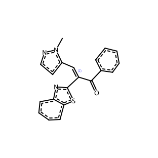 Cn1nccc1/C=C(/C(=O)c1ccccc1)c1nc2ccccc2s1